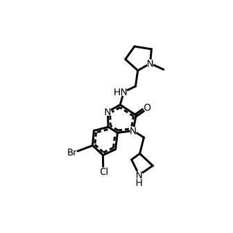 CN1CCCC1CNc1nc2cc(Br)c(Cl)cc2n(CC2CNC2)c1=O